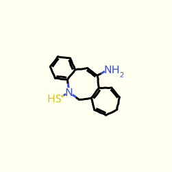 N/C1=C/c2ccccc2N(S)CC2=C1C=CCC=C2